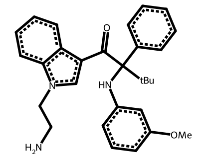 COc1cccc(NC(C(=O)c2cn(CCN)c3ccccc23)(c2ccccc2)C(C)(C)C)c1